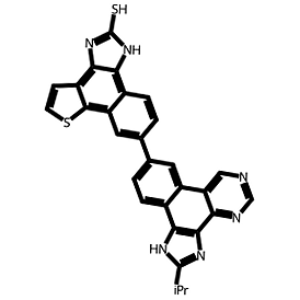 CC(C)c1nc2c3ncncc3c3cc(-c4ccc5c(c4)c4sccc4c4nc(S)[nH]c54)ccc3c2[nH]1